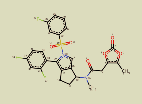 Cc1oc(=O)oc1CC(=O)N(C)C1CCc2c1cn(S(=O)(=O)c1cccc(F)c1)c2-c1ccc(F)cc1F